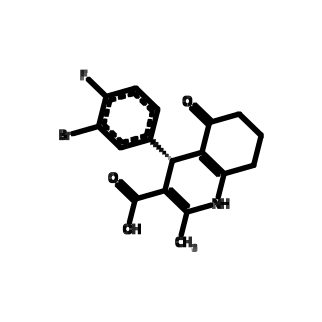 CC1=C(C(=O)O)[C@H](c2ccc(F)c(Br)c2)C2=C(CCCC2=O)N1